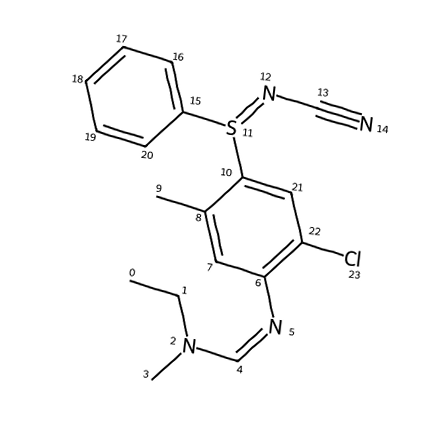 CCN(C)/C=N\c1cc(C)c(/S(=N\C#N)c2ccccc2)cc1Cl